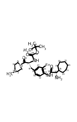 CN1CCN(C(=O)[C@@H](Cc2ccc(NC(=O)[C@@H](N)C3CCCCCC3)c(F)c2)NC(=O)OC(C)(C)C)CC1